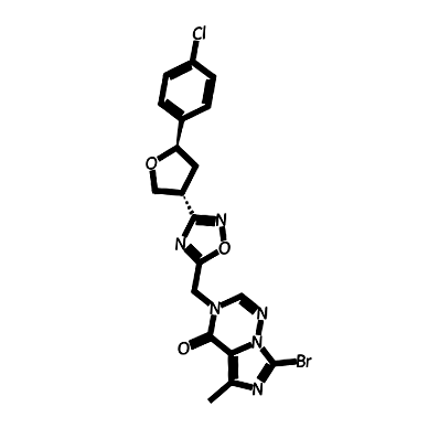 Cc1nc(Br)n2ncn(Cc3nc([C@@H]4CO[C@@H](c5ccc(Cl)cc5)C4)no3)c(=O)c12